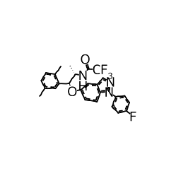 Cc1ccc(C)c([C@@H](Oc2ccc3c(cnn3-c3ccc(F)cc3)c2)[C@H](C)NC(=O)C(F)(F)F)c1